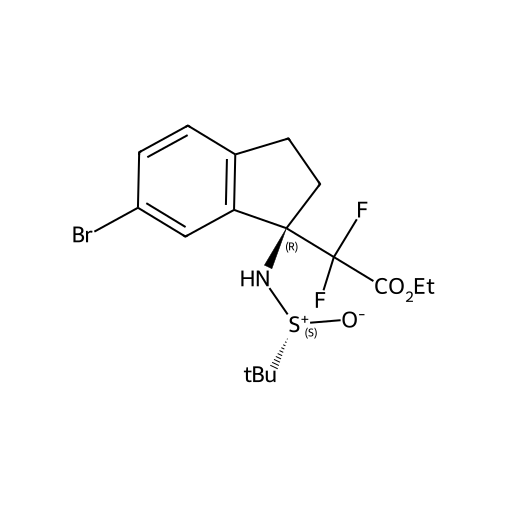 CCOC(=O)C(F)(F)[C@@]1(N[S@+]([O-])C(C)(C)C)CCc2ccc(Br)cc21